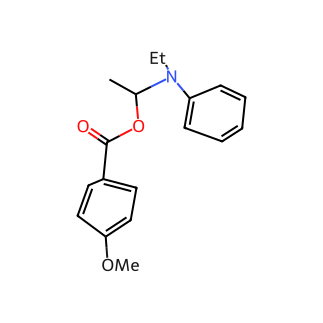 CCN(c1ccccc1)C(C)OC(=O)c1ccc(OC)cc1